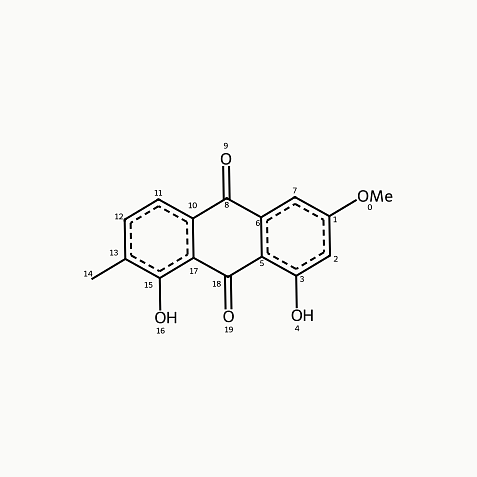 COc1cc(O)c2c(c1)C(=O)c1ccc(C)c(O)c1C2=O